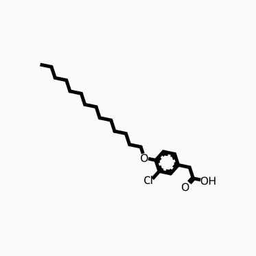 CCCCCCCCCCCCCCOc1ccc(CC(=O)O)cc1Cl